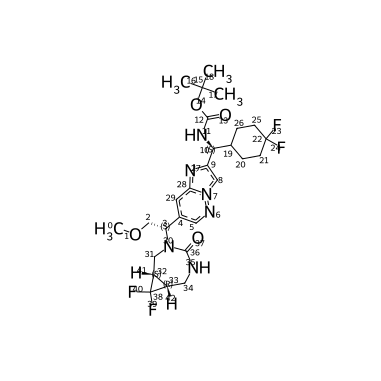 COC[C@H](c1cnn2cc([C@@H](NC(=O)OC(C)(C)C)C3CCC(F)(F)CC3)nc2c1)N1C[C@@H]2[C@H](CNC1=O)C2(F)F